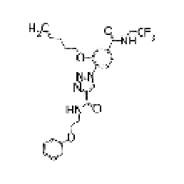 C=CCCCOc1cc(C(=O)NCC(F)(F)F)ccc1-n1cc(C(=O)NCCOc2ccccc2)nn1